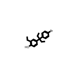 CCc1cc(C(CC)(CC)c2ccc(Br)cc2)ccc1O